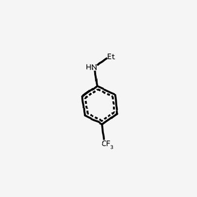 [CH2]CNc1ccc(C(F)(F)F)cc1